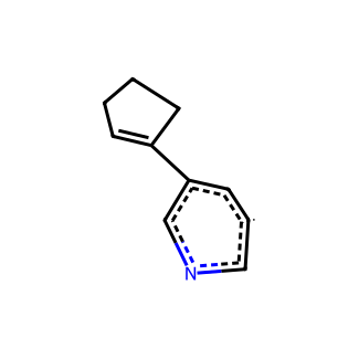 [c]1cncc(C2=CCCC2)c1